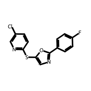 Fc1ccc(-c2n[c]c(Sc3ccc(Cl)cn3)o2)cc1